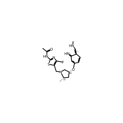 CN/C=C1/C=CC(O[C@@H]2C[C@H](C)N(Cc3sc(NC(C)=O)nc3F)C2)=CC1=N